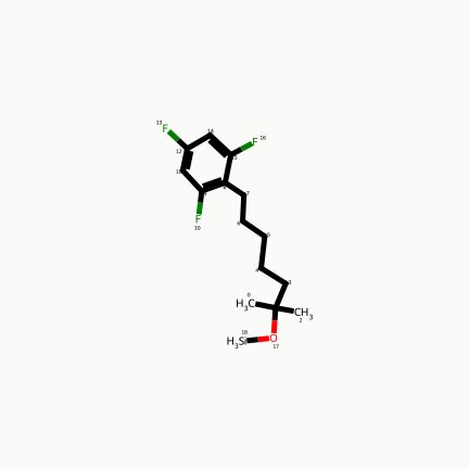 CC(C)(CCCCCc1c(F)cc(F)cc1F)O[SiH3]